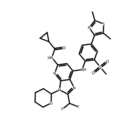 Cc1nc(-c2ccc(Nc3cc(NC(=O)C4CC4)nc4c3nc(C(F)F)n4C3CCCCO3)c(S(C)(=O)=O)c2)c(C)s1